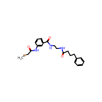 CSCC(=O)Nc1cccc(C(=O)NCCNC(=O)CCCc2ccccc2)c1